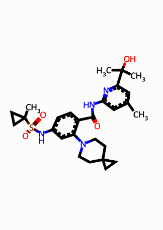 Cc1cc(NC(=O)c2ccc(NS(=O)(=O)C3(C)CC3)cc2N2CCC3(CC2)CC3)nc(C(C)(C)O)c1